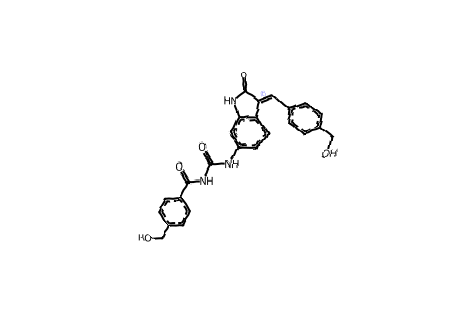 O=C(NC(=O)c1ccc(CO)cc1)Nc1ccc2c(c1)NC(=O)/C2=C/c1ccc(CO)cc1